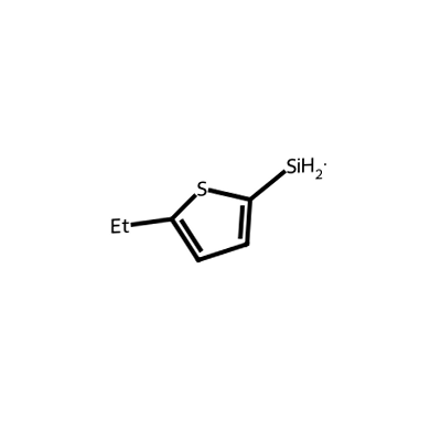 CCc1ccc([SiH2])s1